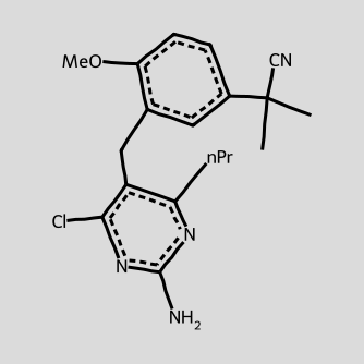 CCCc1nc(N)nc(Cl)c1Cc1cc(C(C)(C)C#N)ccc1OC